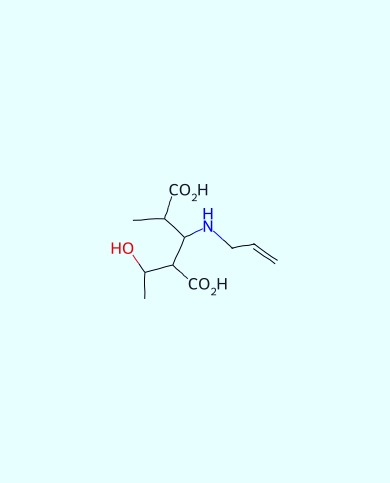 C=CCNC(C(C)C(=O)O)C(C(=O)O)C(C)O